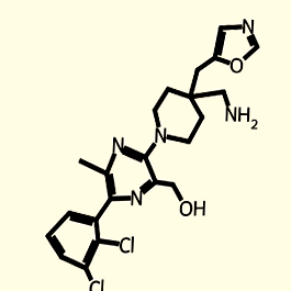 Cc1nc(N2CCC(CN)(Cc3cnco3)CC2)c(CO)nc1-c1cccc(Cl)c1Cl